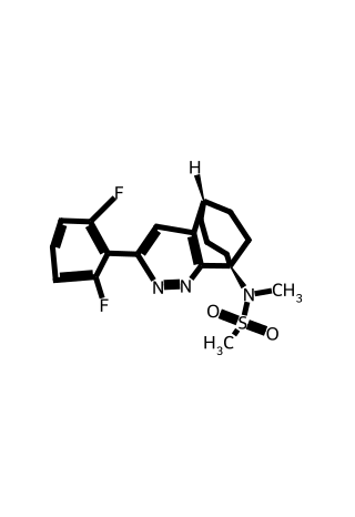 CN([C@@]12CCC[C@@H](CC1)c1cc(-c3c(F)cccc3F)nnc12)S(C)(=O)=O